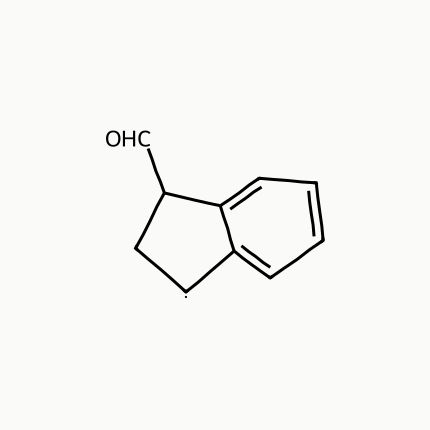 O=CC1C[CH]c2ccccc21